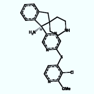 COc1nccc(Sc2cnc([C@@]3(N)c4ccccc4CC34CCNCC4)cn2)c1Cl